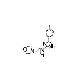 Cc1ccc(C2CNC(NCCN3CCOCC3)=N2)cc1